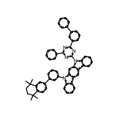 CC1(C)CCC(C)(C)c2cc(-c3cccc(-n4c5ccccc5c5cc6c7ccccc7n(-c7nc(-c8ccccc8)nc(-c8cccc(-c9ccccc9)c8)n7)c6cc54)c3)ccc21